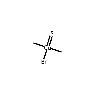 [CH3][Cu]([CH3])(=[S])[Br]